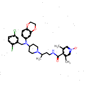 Cc1c[n+]([O-])cc(C)c1C(=O)NCCC(C)N1CCC(N(Cc2cc(Cl)ccc2F)c2ccc3c(c2)OCCO3)CC1